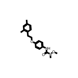 CON(C)C(=O)Nc1ccc(OCCc2ccc(C)cc2C)cc1